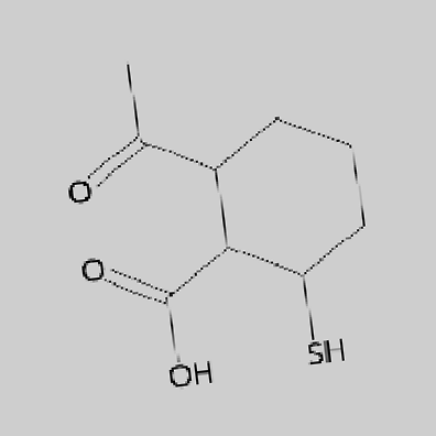 CC(=O)C1CCCC(S)C1C(=O)O